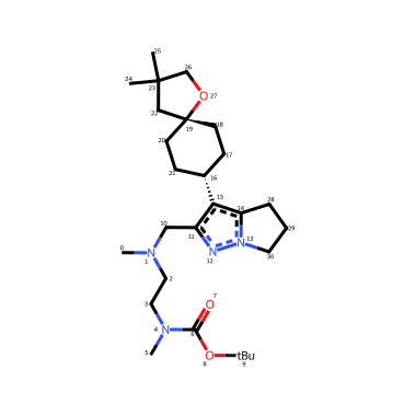 CN(CCN(C)C(=O)OC(C)(C)C)Cc1nn2c(c1[C@H]1CC[C@@]3(CC1)CC(C)(C)CO3)CCC2